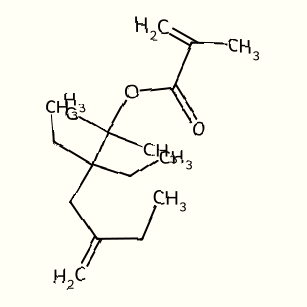 C=C(CC)CC(CC)(CC)C(C)(C)OC(=O)C(=C)C